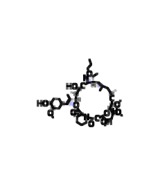 CCCO/N=C1/C[C@H](O)[C@@H](C)[C@@H](/C(C)=C/[C@@H]2CC[C@@H](O)[C@H](OC)C2)OC(=O)[C@@H]2CCCCN2C(=O)C[C@]2(O)O[C@H]([C@@H](OC)C[C@@H](C)C/C(C)=C/[C@H]1CC)[C@@H](OC)C[C@H]2C